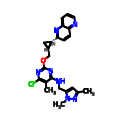 Cc1cc(CNc2nc(OC[C@H]3C[C@@H]3c3ccc4ncccc4n3)nc(Cl)c2C)n(C)n1